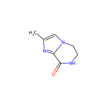 Cc1cn2c(n1)C(=O)NCC2